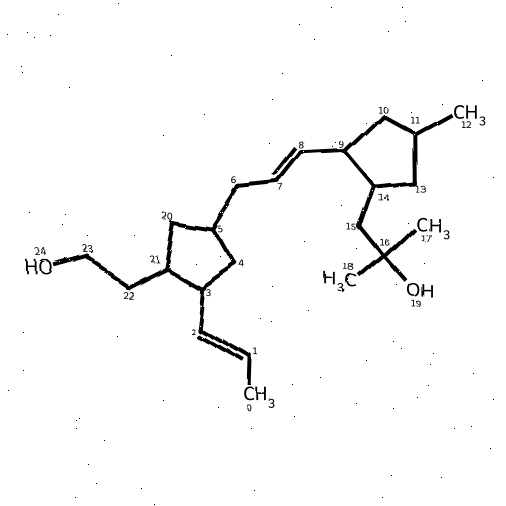 CC=CC1CC(CC=CC2CC(C)CC2CC(C)(C)O)CC1CCO